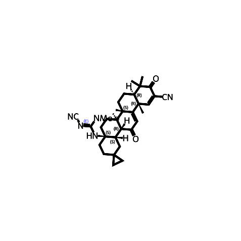 CN/C(=N\C#N)N[C@]12CCC3(CC3)C[C@H]1[C@H]1C(=O)C=C3[C@@]4(C)C=C(C#N)C(=O)C(C)(C)[C@@H]4CC[C@@]3(C)[C@]1(C)CC2